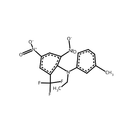 CCN(c1cccc(C)c1)c1c([N+](=O)[O-])cc([N+](=O)[O-])cc1C(F)(F)F